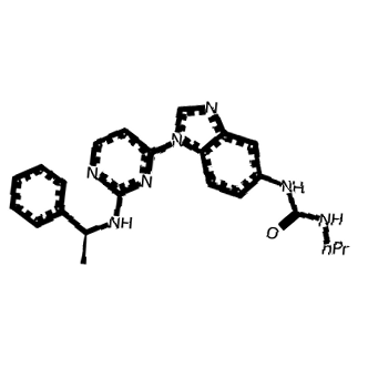 CCCNC(=O)Nc1ccc2c(c1)ncn2-c1ccnc(N[C@@H](C)c2ccccc2)n1